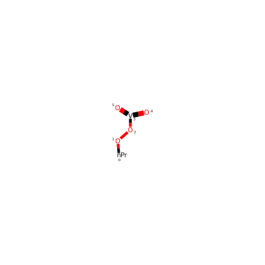 CCCO[O][V](=[O])=[O]